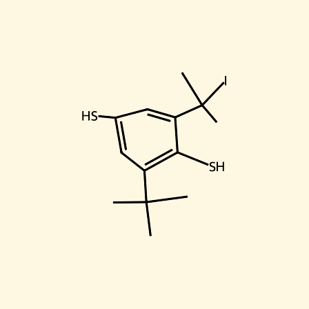 CC(C)(C)c1cc(S)cc(C(C)(C)I)c1S